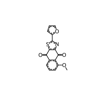 COc1cccc2c1C(=O)c1nc(-c3ccco3)sc1C2=O